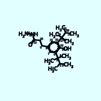 CC(C)C(C)(C)c1cc(CCC(=O)NN)cc(C(C)(C)C(C)C)c1O